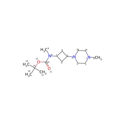 CN1CCN(C2CC(N(C)C(=O)OC(C)(C)C)C2)CC1